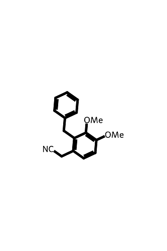 COc1ccc(CC#N)c(Cc2ccccc2)c1OC